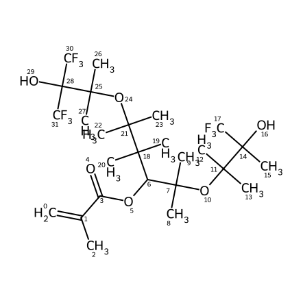 C=C(C)C(=O)OC(C(C)(C)OC(C)(C)C(C)(O)C(F)(F)F)C(C)(C)C(C)(C)OC(C)(C)C(O)(C(F)(F)F)C(F)(F)F